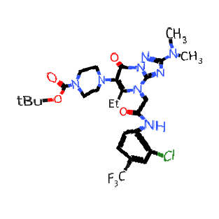 CCc1c(N2CCN(C(=O)OC(C)(C)C)CC2)c(=O)n2nc(N(C)C)nc2n1CC(=O)Nc1ccc(C(F)(F)F)cc1Cl